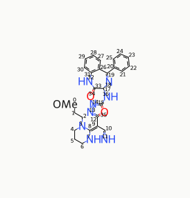 COCCN1CCCN/C1=C(\C=N)c1nnc(NC2N=C(c3ccccc3)c3ccccc3NC2=O)o1